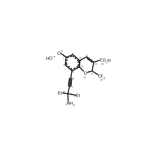 CCC(N)(C#Cc1cc(Cl)cc2c1OC(C(F)(F)F)C(C(=O)O)=C2)CC.Cl